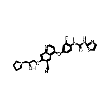 N#Cc1cc2c(Oc3ccc(NC(=O)Nc4nccs4)c(F)c3)ccnc2cc1OCC(O)CN1CCCC1